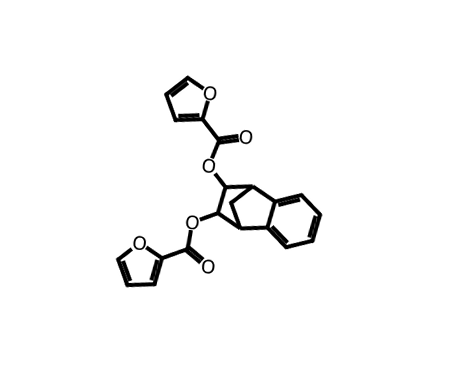 O=C(OC1C2CC(c3ccccc32)C1OC(=O)c1ccco1)c1ccco1